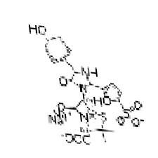 CC1(C)S[C@@H]2[C@H](N3C(=O)C(c4ccc(O)cc4)NC3c3ccc(S(=O)(=O)[O-])o3)C(=O)N2[C@H]1C(=O)[O-].[Na+].[Na+]